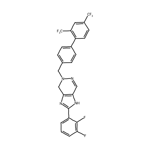 Fc1cccc(-c2nc3c([nH]2)C=NN(Cc2ccc(-c4ccc(C(F)(F)F)cc4C(F)(F)F)cc2)C3)c1F